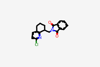 O=C1c2ccccc2C(=O)N1CC1CCCc2ccc(Cl)nc21